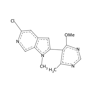 COc1ncnc(C)c1-c1cc2cc(Cl)ncc2n1C